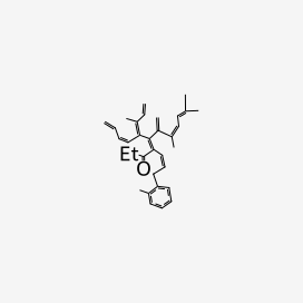 C=C\C=C/C(=C(\C)C=C)C(/C(=C)/C(C)=C\C=C(C)C)=C(/C=C\Cc1ccccc1C)C(=O)CC